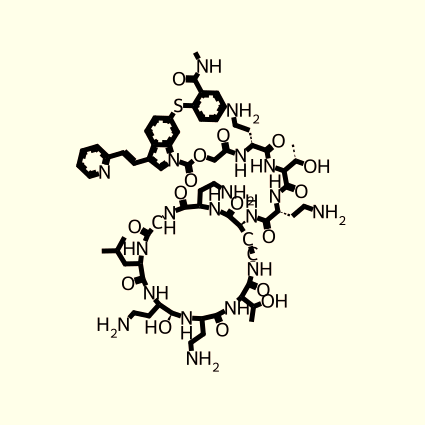 CNC(=O)c1ccccc1Sc1ccc2c(/C=C/c3ccccn3)cn(C(=O)OCC(=O)N[C@H](CCN)C(=O)NC(C(=O)N[C@H](CCN)C(=O)N[C@@H]3CCNC(=O)C(C(C)O)NC(=O)C(CCN)N[C@H](O)C(CCN)NC(=O)C(CC(C)C)NC(=O)CNC(=O)C(CCN)NC3=O)[C@H](C)O)c2c1